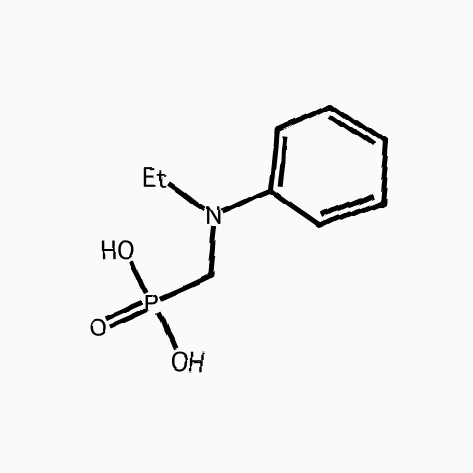 CCN(CP(=O)(O)O)c1ccccc1